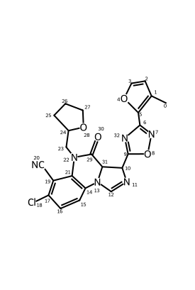 Cc1ccoc1-c1noc(C2N=CN3c4ccc(Cl)c(C#N)c4N(CC4CCCO4)C(=O)C23)n1